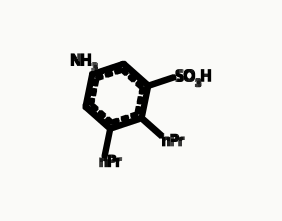 CCCc1cccc(S(=O)(=O)O)c1CCC.N